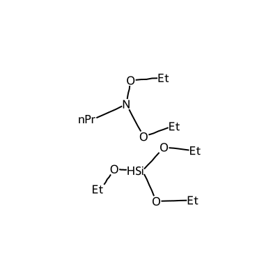 CCCN(OCC)OCC.CCO[SiH](OCC)OCC